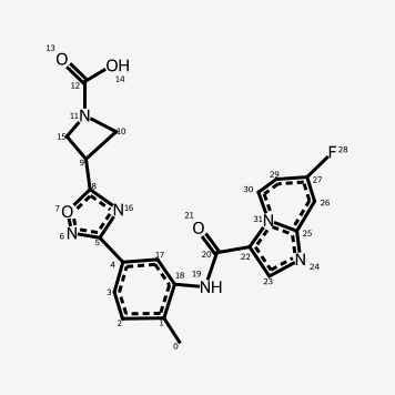 Cc1ccc(-c2noc(C3CN(C(=O)O)C3)n2)cc1NC(=O)c1cnc2cc(F)ccn12